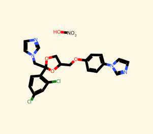 Clc1ccc(C2(Cn3ccnc3)OCC(COc3ccc(-n4ccnc4)cc3)O2)c(Cl)c1.O=[N+]([O-])O